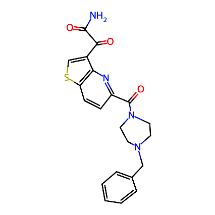 NC(=O)C(=O)c1csc2ccc(C(=O)N3CCN(Cc4ccccc4)CC3)nc12